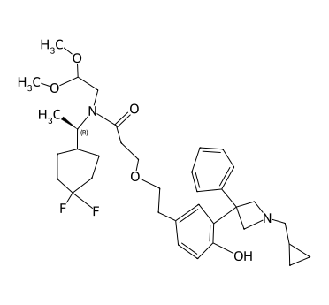 COC(CN(C(=O)CCOCCc1ccc(O)c(C2(c3ccccc3)CN(CC3CC3)C2)c1)[C@H](C)C1CCC(F)(F)CC1)OC